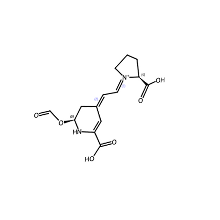 O=CO[C@H]1C/C(=C/C=[N+]2\CCC[C@H]2C(=O)O)C=C(C(=O)O)N1